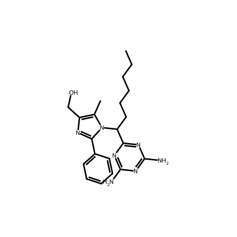 CCCCCCC(c1nc(N)nc(N)n1)n1c(-c2ccccc2)nc(CO)c1C